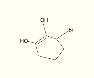 OC1=C(O)C(Br)CCC1